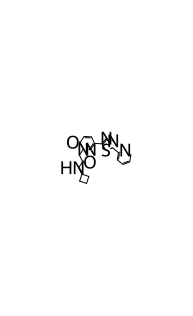 O=C(Cn1nc(-c2nnc(-c3ccccn3)s2)ccc1=O)NC1CCC1